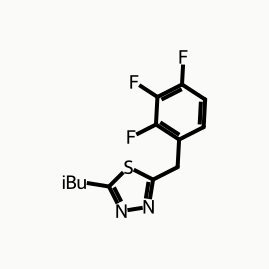 CCC(C)c1nnc(Cc2ccc(F)c(F)c2F)s1